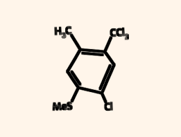 CSc1cc(C)c(C(Cl)(Cl)Cl)cc1Cl